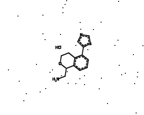 Cl.NCC1OCCc2c(-c3cncs3)cccc21